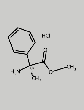 COC(=O)[C@@](C)(N)c1ccccc1.Cl